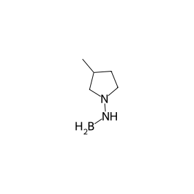 BNN1CCC(C)C1